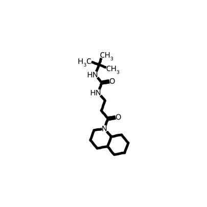 CC(C)(C)NC(=O)NCCC(=O)N1CCCC2CCCCC21